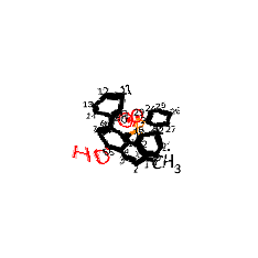 Cc1ccc2c(O)cc(-c3ccccc3)c(P3(c4ccccc4)(c4ccccc4)OO3)c2c1